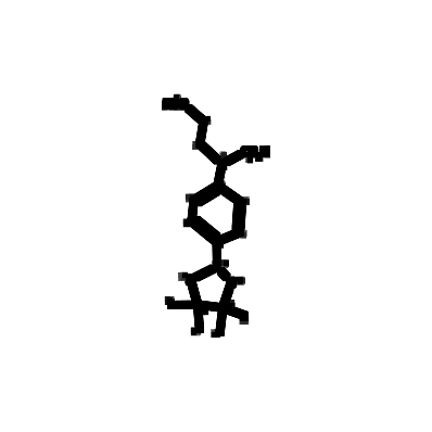 COCCN(C(=O)O)c1ccc(B2OC(C)(C)C(C)(C)O2)cc1